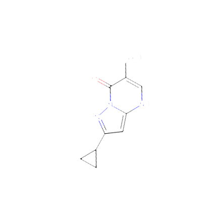 O=C(O)c1c[nH]c2cc(C3CC3)nn2c1=O